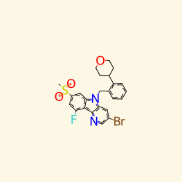 CS(=O)(=O)c1cc(F)c2c3ncc(Br)cc3n(Cc3ccccc3C3CCOCC3)c2c1